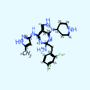 Cc1cc(NC2=NC(N)(Cc3ccc(F)cc3F)N=C3C2=CNN3C2CCNCC2)n[nH]1